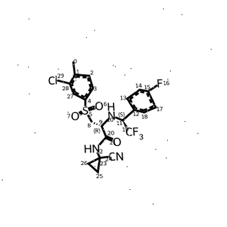 Cc1ccc(S(=O)(=O)C[C@H](N[C@@H](c2ccc(F)cc2)C(F)(F)F)C(=O)NC2(C#N)CC2)cc1Cl